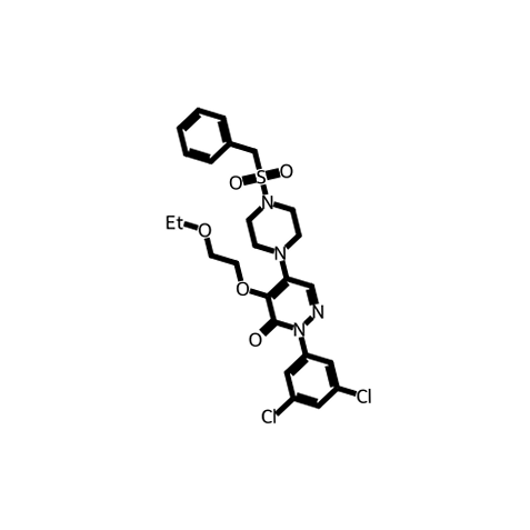 CCOCCOc1c(N2CCN(S(=O)(=O)Cc3ccccc3)CC2)cnn(-c2cc(Cl)cc(Cl)c2)c1=O